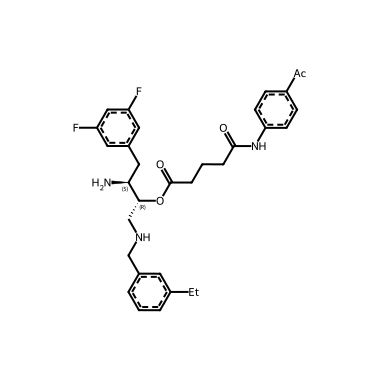 CCc1cccc(CNC[C@@H](OC(=O)CCCC(=O)Nc2ccc(C(C)=O)cc2)[C@@H](N)Cc2cc(F)cc(F)c2)c1